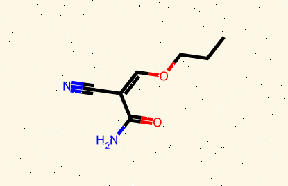 CCCOC=C(C#N)C(N)=O